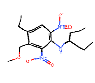 CCc1cc([N+](=O)[O-])c(NC(CC)CC)c([N+](=O)[O-])c1COC